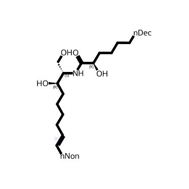 CCCCCCCCC/C=C/CCCC[C@@H](O)[C@H](CO)NC(=O)[C@H](O)CCCCCCCCCCCCCC